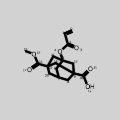 C=CC(=O)OC12CC3CC(C(=O)O)(C1)CC(C(=O)OC)(C3)C2